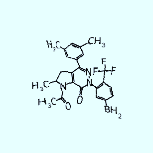 Bc1ccc(C(F)(F)F)c(-n2nc(-c3cc(C)cc(C)c3)c3c(c2=O)N(C(C)=O)C(C)C3)c1